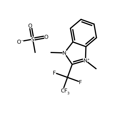 CS(=O)(=O)[O-].Cn1c(C(F)(F)C(F)(F)F)[n+](C)c2ccccc21